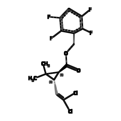 CC1(C)[C@@H](C=C(Cl)Cl)[C@@H]1C(=O)OCc1c(F)c(F)cc(F)c1F